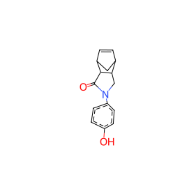 O=C1C2C3C=CC(C3)C2CN1c1ccc(O)cc1